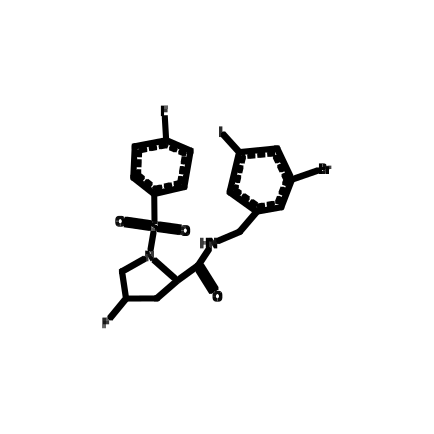 O=C(NCc1cc(Br)cc(I)c1)C1CC(F)CN1S(=O)(=O)c1ccc(F)cc1